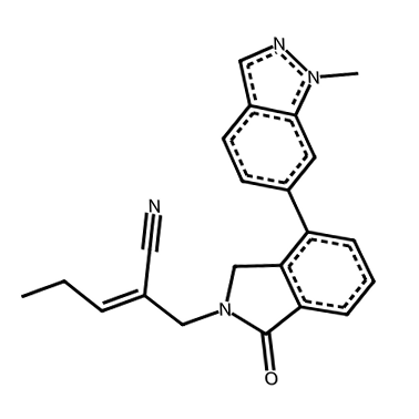 CC/C=C(\C#N)CN1Cc2c(cccc2-c2ccc3cnn(C)c3c2)C1=O